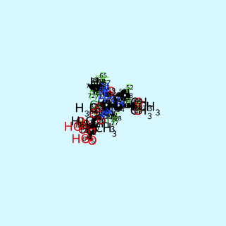 Cc1cc(C(=O)O)cc(OP(=O)(O)O)c1C(C)(C)CC(=O)N(c1nn(CC(F)(F)F)c2c(-c3ccc(C#CC(C)(C)S(C)(=O)=O)nc3[C@H](Cc3cc(F)cc(F)c3)NC(=O)Cn3nc(C(F)(F)F)c4c3C(F)(F)C3C[C@H]43)ccc(Cl)c12)S(C)(=O)=O